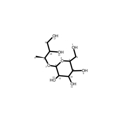 C[C@H](OC1OC(CO)C(O)C(O)C1O)C(O)CO